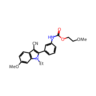 CCn1c(-c2cccc(NC(=O)OCCOC)c2)c(C#N)c2ccc(OC)cc21